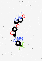 O=C1CCc2c(Oc3ccc4c(c3)C3C(O4)[C@H]3c3nc4ccc(C(F)(F)F)cc4[nH]3)ccnc2N1